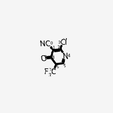 N#CC1=C(Cl)N=CC(C(F)(F)F)C1=O